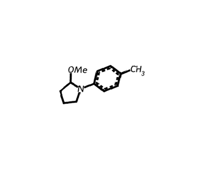 COC1CCCN1c1ccc(C)cc1